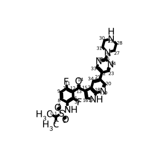 CC(C)S(=O)(=O)Nc1ccc(F)c(C(=O)c2c[nH]c3ncc(-c4cnc(N5CCNCC5)nc4)cc23)c1F